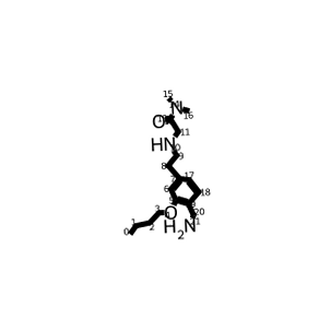 CCCCOc1cc(CCNCC(=O)N(C)C)ccc1CN